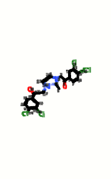 Cc1n(CC(=O)c2ccc(Cl)c(Cl)c2)cc[n+]1CC(=O)c1ccc(Cl)c(Cl)c1